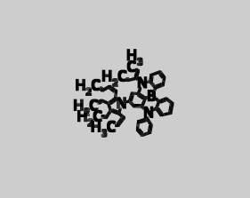 C=C/C=C\c1c(C=C)c(C=C)c(/C=C\C)n1-c1cc2c3c(c1)N(c1ccccc1)c1ccccc1B3c1ccccc1N2/C(C=C)=C/C